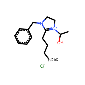 CCCCCCCCCCCCCC1=[N+](C(C)O)CCN1Cc1ccccc1.[Cl-]